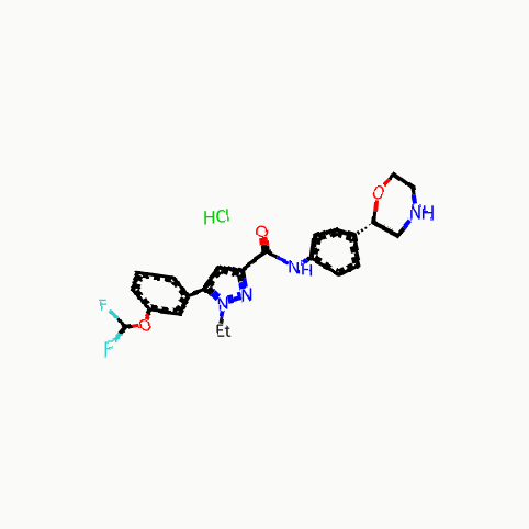 CCn1nc(C(=O)Nc2ccc([C@H]3CNCCO3)cc2)cc1-c1cccc(OC(F)F)c1.Cl